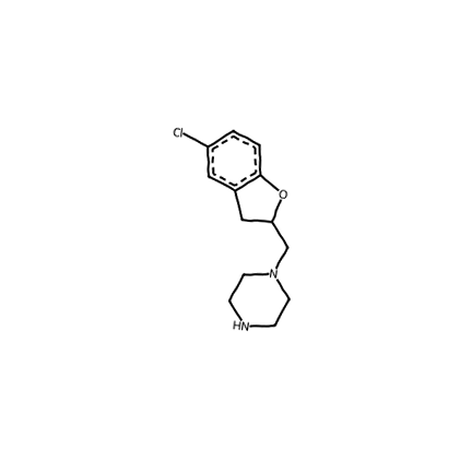 Clc1ccc2c(c1)CC(CN1CCNCC1)O2